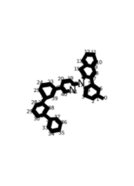 Cc1ccc2c(c1)c1cc3ccccc3cc1n2-c1ccc(-c2cccc(-c3cccc(-c4ccccc4)c3)c2)cn1